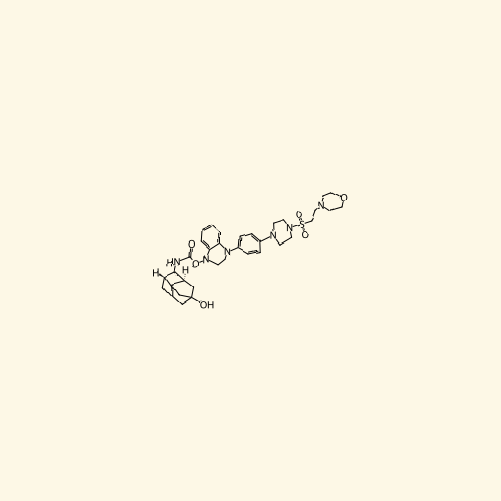 O=C(NC1[C@@H]2CC3C[C@H]1CC(O)(C3)C2)ON1CCN(c2ccc(N3CCN(S(=O)(=O)CCN4CCOCC4)CC3)cc2)c2ccccc21